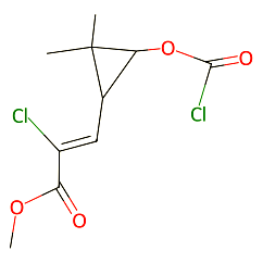 COC(=O)C(Cl)=CC1C(OC(=O)Cl)C1(C)C